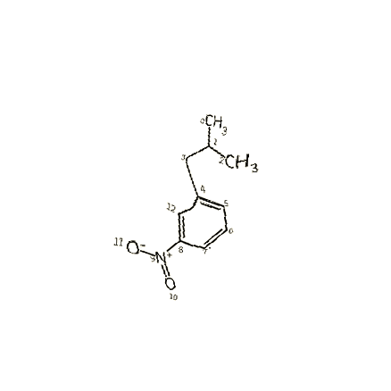 CC(C)Cc1cc[c]c([N+](=O)[O-])c1